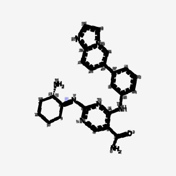 NC(=O)c1cnc(/N=C2\CCCC[C@@H]2N)nc1Nc1cccc(-c2ccc3nccn3c2)c1